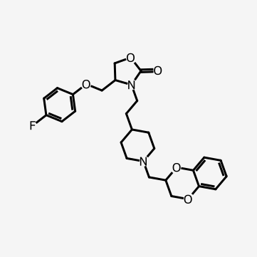 O=C1OCC(COc2ccc(F)cc2)N1CCC1CCN(CC2COc3ccccc3O2)CC1